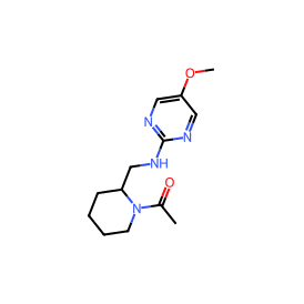 COc1cnc(NCC2CCCCN2C(C)=O)nc1